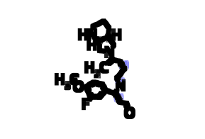 C=C(\C=C/C=N/C(=C\C=O)c1ccc(OC)c(F)c1)N1C[C@H]2CCCN[C@H]2C1